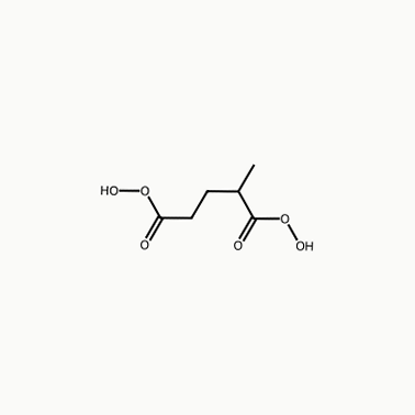 CC(CCC(=O)OO)C(=O)OO